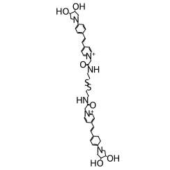 O=C(C[n+]1ccc(/C=C/C2=CC=C(N3CC(O)C(O)C3)CC2)cc1)NCCSSCCNC(=O)C[n+]1ccc(/C=C/c2ccc(N3CC(O)C(O)C3)cc2)cc1